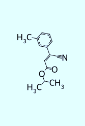 Cc1cccc(C(C#N)=CC(=O)OC(C)C)c1